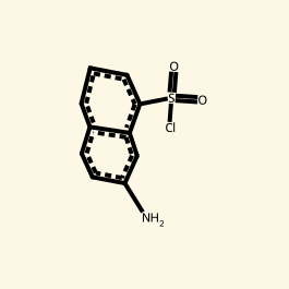 Nc1ccc2cccc(S(=O)(=O)Cl)c2c1